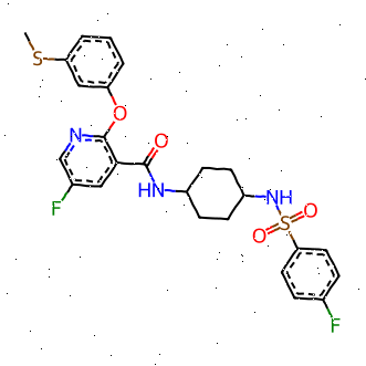 CSc1cccc(Oc2ncc(F)cc2C(=O)NC2CCC(NS(=O)(=O)c3ccc(F)cc3)CC2)c1